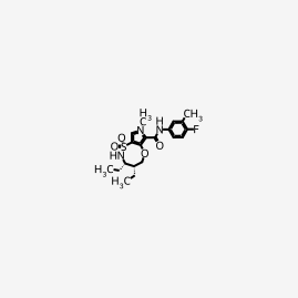 CC[C@H]1COc2c(cn(C)c2C(=O)Nc2ccc(F)c(C)c2)S(=O)(=O)N[C@H]1CC